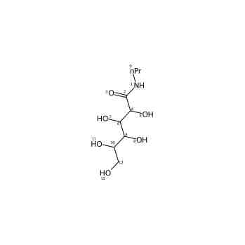 CCCNC(=O)C(O)C(O)C(O)C(O)CO